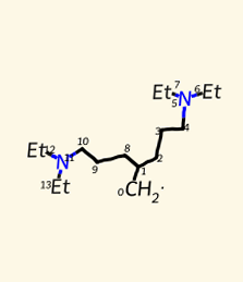 [CH2]C(CCCN(CC)CC)CCCN(CC)CC